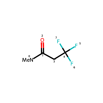 CNC(=O)[CH]C(F)(F)F